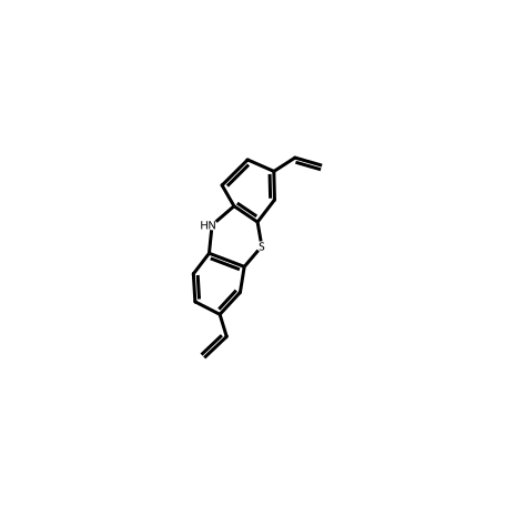 C=Cc1ccc2c(c1)Sc1cc(C=C)ccc1N2